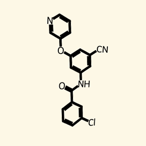 N#Cc1cc(NC(=O)c2cccc(Cl)c2)cc(Oc2cccnc2)c1